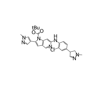 CN1CC(c2ccc(Nc3cc4c(cn3)cc(-c3cnn(C)c3)n4C(=O)OC(C)(C)C)c(Cl)c2)C=N1